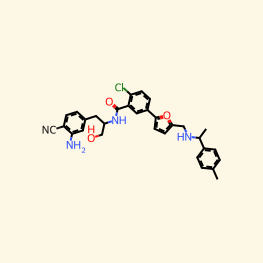 Cc1ccc(C(C)NCc2ccc(-c3ccc(Cl)c(C(=O)NC(CO)Cc4ccc(C#N)c(N)c4)c3)o2)cc1